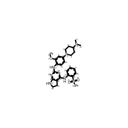 CC(C)Oc1cc(N2CCC(N(C)C)CC2)ccc1Nc1nc2c(c(Nc3ccccc3S(=O)(=O)C(C)C)n1)CCN2